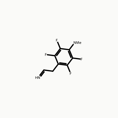 CNc1c(F)c(F)c(CC=N)c(F)c1F